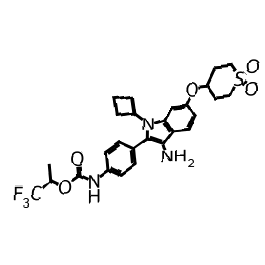 C[C@@H](OC(=O)Nc1ccc(-c2c(N)c3ccc(OC4CCS(=O)(=O)CC4)cc3n2C2CCC2)cc1)C(F)(F)F